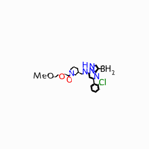 Bc1cnn2c(NCC3CCCN(C(=O)COCCOC)C3)cc(-c3ccccc3Cl)nc12